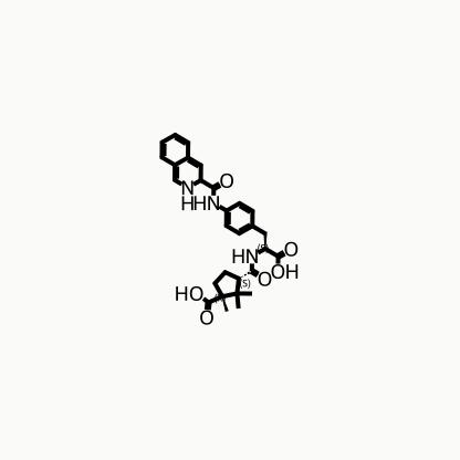 CC1(C)[C@@H](C(=O)N[C@@H](Cc2ccc(NC(=O)C3C=c4ccccc4=CN3)cc2)C(=O)O)CC[C@@]1(C)C(=O)O